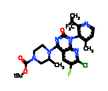 C=C(c1nccc(C)c1-n1c(=O)nc(N2CCN(C(=O)OC(C)(C)C)CC2C)c2cc(F)c(Cl)nc21)C(F)(F)F